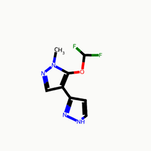 Cn1ncc(-c2cc[nH]n2)c1OC(F)F